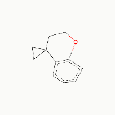 c1ccc2c(c1)OCCC21CC1